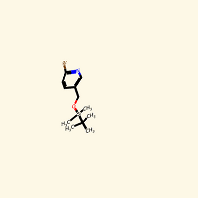 CC(C)(C)[Si](C)(C)OCc1ccc(Br)nc1